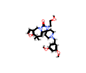 COCCN1C(=O)N2Cc3ccoc3C(C)(C)C=C2C12CCN(Cc1cc(OC)cc(OC)c1)CC2